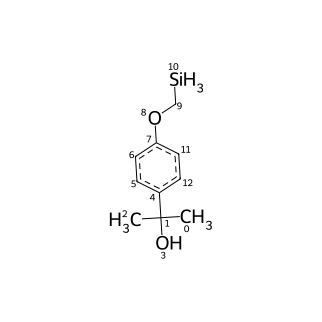 CC(C)(O)c1ccc(OC[SiH3])cc1